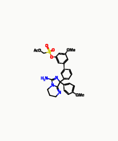 COc1ccc(C2(c3cccc(-c4cc(OC)cc(OS(=O)(=O)COC(C)=O)c4)c3)N=C(N)N3CCCN=C32)cc1